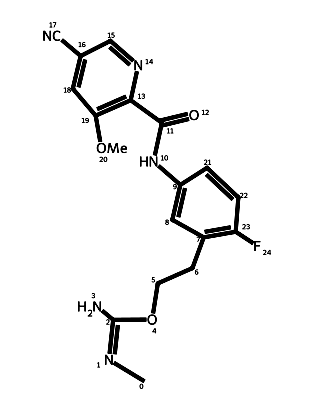 C/N=C(/N)OCCc1cc(NC(=O)c2ncc(C#N)cc2OC)ccc1F